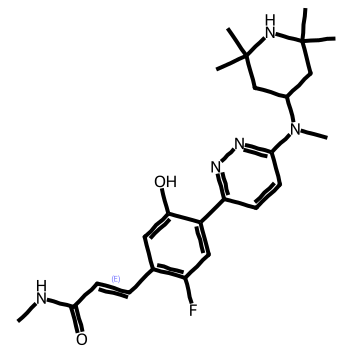 CNC(=O)/C=C/c1cc(O)c(-c2ccc(N(C)C3CC(C)(C)NC(C)(C)C3)nn2)cc1F